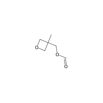 CC1(CO[C]=O)COC1